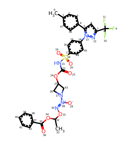 Cc1ccc(-c2cc(C(F)(F)F)nn2-c2ccc(S(=O)(=O)NC(=O)OC3CN([N+]([O-])=NOC(C)OC(=O)c4ccccc4)C3)cc2)cc1